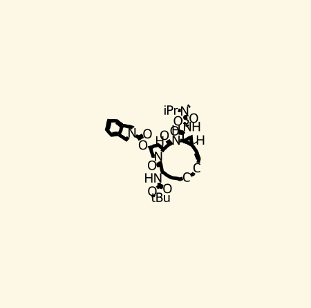 CC(C)N(C)S(=O)(=O)NC(=O)[C@@]12C[C@H]1/C=C\CCCCC[C@H](NC(=O)OC(C)(C)C)C(=O)N1C[C@H](OC(=O)N3Cc4ccccc4C3)C[C@H]1C(=O)N2